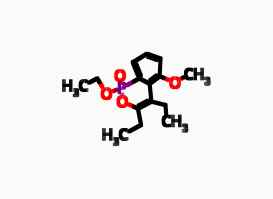 CCOP1(=O)OC(CC)=C(CC)c2c(OC)cccc21